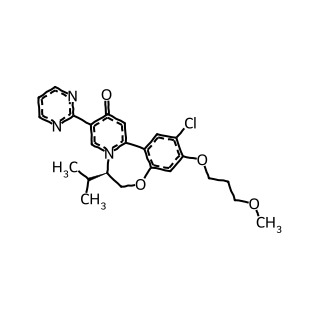 COCCCOc1cc2c(cc1Cl)-c1cc(=O)c(-c3ncccn3)cn1[C@H](C(C)C)CO2